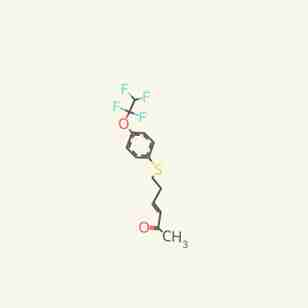 CC(=O)C=CCCSc1ccc(OC(F)(F)C(F)F)cc1